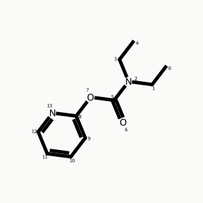 CCN(CC)C(=O)Oc1ccccn1